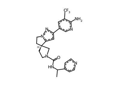 CC(NC(=O)N1CC[C@]2(CCn3nc(-c4cnc(N)c(C(F)(F)F)c4)cc32)C1)c1ccncc1